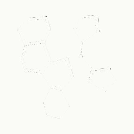 c1ccc2c(c1)ccc1c3c(ccc12)CCCC3.c1coc(Oc2ccco2)c1